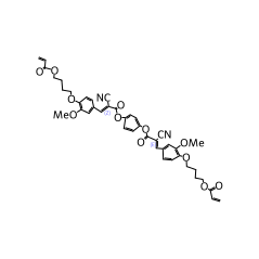 [C-]#[N+]/C(=C\c1ccc(OCCCCOC(=O)C=C)c(OC)c1)C(=O)Oc1ccc(OC(=O)/C(C#N)=C/c2ccc(OCCCCOC(=O)C=C)c(OC)c2)cc1